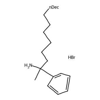 Br.CCCCCCCCCCCCCCCCC(C)(N)c1ccccc1